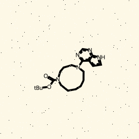 CC(C)(C)OC(=O)N1CCCCCCN(c2ncnc3[nH]ccc23)CCC1